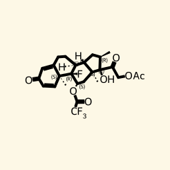 CC(=O)OCC(=O)[C@@]1(O)[C@H](C)C[C@H]2[C@@H]3CCC4=CC(=O)C=C[C@]4(C)[C@@]3(F)[C@@H](OC(=O)C(F)(F)F)C[C@@]21C